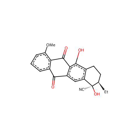 CC[C@@H]1CCc2c(cc3c(c2O)C(=O)c2c(OC)cccc2C3=O)[C@@]1(O)C#N